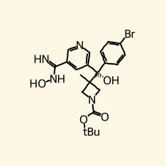 CC(C)(C)OC(=O)N1CC(C)([C@](O)(c2ccc(Br)cc2)c2cncc(C(=N)NO)c2)C1